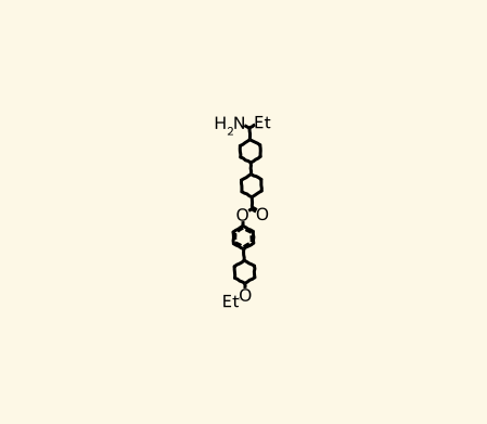 CCOC1CCC(c2ccc(OC(=O)C3CCC(C4CCC(C(N)CC)CC4)CC3)cc2)CC1